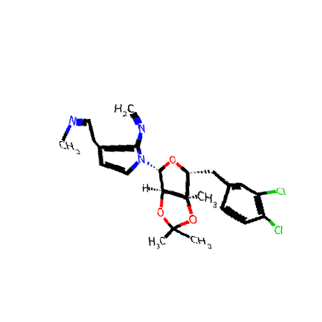 C=Nc1c(/C=N\C)ccn1[C@@H]1O[C@H](Cc2ccc(Cl)c(Cl)c2)[C@@]2(C)OC(C)(C)O[C@@H]12